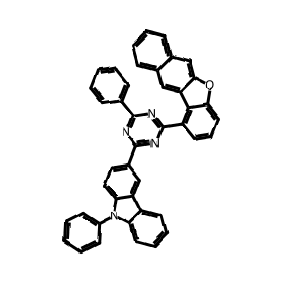 c1ccc(-c2nc(-c3ccc4c(c3)c3ccccc3n4-c3ccccc3)nc(-c3cccc4oc5cc6ccccc6cc5c34)n2)cc1